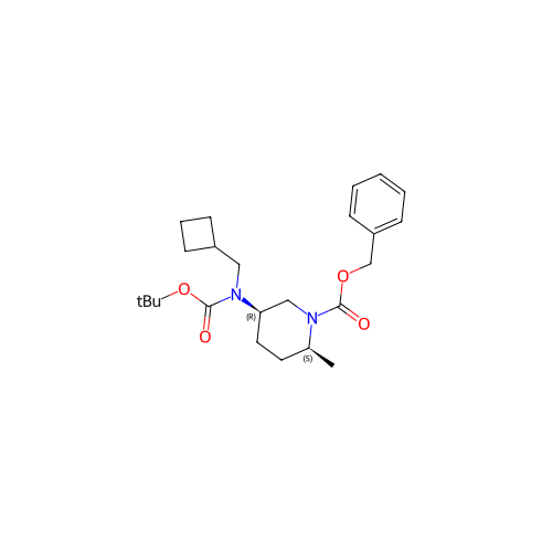 C[C@H]1CC[C@@H](N(CC2CCC2)C(=O)OC(C)(C)C)CN1C(=O)OCc1ccccc1